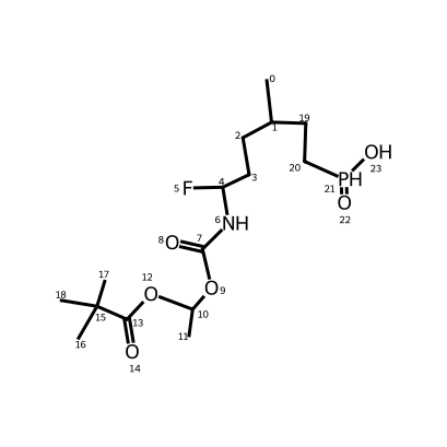 CC(CCC(F)NC(=O)OC(C)OC(=O)C(C)(C)C)CC[PH](=O)O